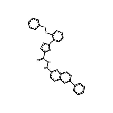 O=C(NNc1ccc2cc(-c3ccccc3)ccc2n1)c1csc(-c2ccccc2OCc2ccccc2)n1